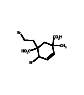 CC1(C(=O)O)C=CC(Br)C(CCBr)(C(=O)O)C1